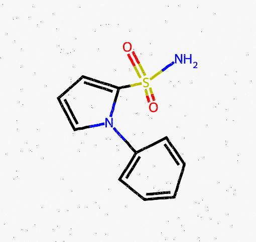 NS(=O)(=O)c1cccn1-c1ccccc1